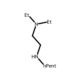 CCCCCNCCN(CC)CC